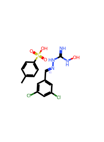 Cc1ccc(S(=O)(=O)O)cc1.N=C(NO)N/N=C/c1cc(Cl)cc(Cl)c1